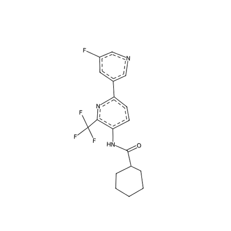 O=C(Nc1ccc(-c2cncc(F)c2)nc1C(F)(F)F)C1CCCCC1